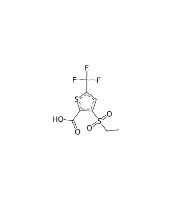 CCS(=O)(=O)c1cc(C(F)(F)F)sc1C(=O)O